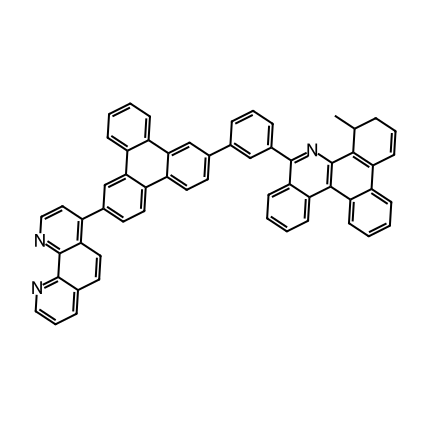 CC1CC=Cc2c1c1nc(-c3cccc(-c4ccc5c6ccc(-c7ccnc8c7ccc7cccnc78)cc6c6ccccc6c5c4)c3)c3ccccc3c1c1ccccc21